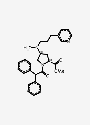 COC(=O)[C@@H]1C[C@H](N(C)CCCc2cccnc2)CN1C(=O)C(c1ccccc1)c1ccccc1